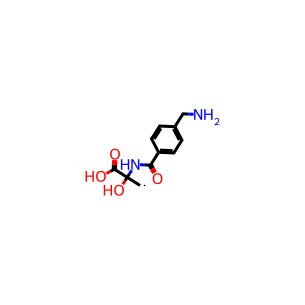 [CH2]C(O)(NC(=O)c1ccc(CN)cc1)C(=O)O